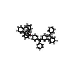 c1ccc(N(c2ccc(-c3ccc4c(c3)-c3c5cccc3-c3cccc-4c3-c3ccccc3-5)cc2)c2ccc3c(c2)c2ccccc2n3-c2ccccc2)cc1